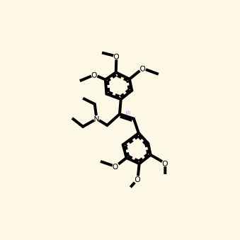 CCN(CC)C/C(=C\c1cc(OC)c(OC)c(OC)c1)c1cc(OC)c(OC)c(OC)c1